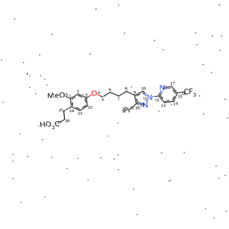 COc1cc(OCCCCc2cn(-c3ccc(C(F)(F)F)cn3)nc2C(C)C)ccc1CCC(=O)O